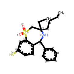 CCCC[C@]1(CC)CS(=O)(=O)c2cc(S)ccc2C(c2ccccc2)N1